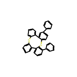 c1ccc(-c2ccc3c(c2)-c2ccccc2Sc2ccccc2-c2cccc(-c4ccccc4)c2S3)cc1